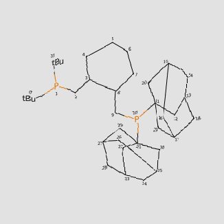 CC(C)(C)P(CC1CCCCC1CP(C12CC3CC(CC(C3)C1)C2)C12CC3CC(CC(C3)C1)C2)C(C)(C)C